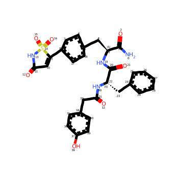 NC(=O)[C@H](Cc1ccc(C2=CC(=O)NS2(=O)=O)cc1)NC(=O)[C@H](Cc1ccccc1)NC(=O)Cc1ccc(O)cc1